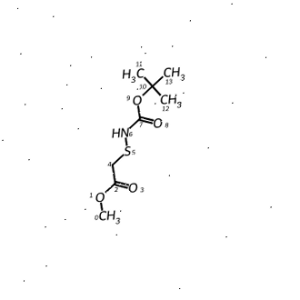 COC(=O)CSNC(=O)OC(C)(C)C